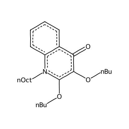 CCCCCCCCn1c(OCCCC)c(OCCCC)c(=O)c2ccccc21